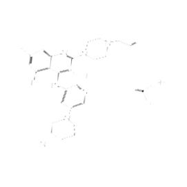 Cc1c(N2CCN(CC=O)CC2)nc2cc(F)cc(F)c2c1Nc1cncc(N2CCOCC2)c1.O=C([O-])O.[Na+]